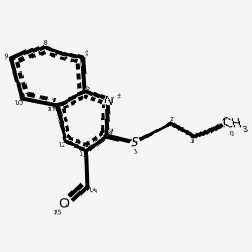 CCCSc1nc2ccccc2cc1C=O